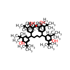 CC(C)(C)c1cc(C(CCCC(c2cc(C(C)(C)C)c(O)c(C(C)(C)C)c2)c2cc(C(C)(C)C)c(O)c(C(C)(C)C)c2)c2cc(C(C)(C)C)c(O)c(C(C)(C)C)c2)cc(C(C)(C)C)c1O